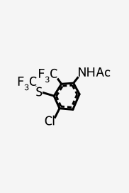 CC(=O)Nc1ccc(Cl)c(SC(F)(F)F)c1C(F)(F)F